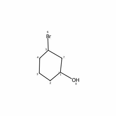 O[C]1CCCC(Br)C1